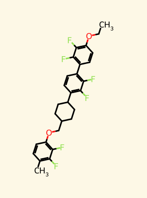 CCOc1ccc(-c2ccc(C3CCC(COc4ccc(C)c(F)c4F)CC3)c(F)c2F)c(F)c1F